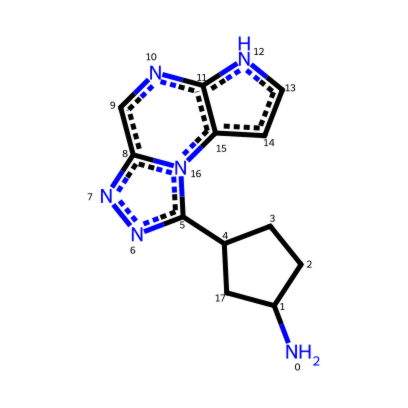 NC1CCC(c2nnc3cnc4[nH]ccc4n23)C1